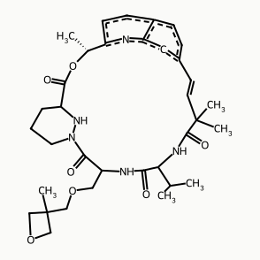 CC(C)C1NC(=O)C(C)(C)/C=C/c2ccc3ccc(nc3c2)[C@@H](C)OC(=O)C2CCCN(N2)C(=O)C(COCC2(C)COC2)NC1=O